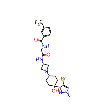 Cn1cc(Br)c(C2(O)CCC(N3CC(NC(=O)CNC(=O)c4cccc(C(F)(F)F)c4)C3)CC2)n1